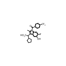 Cc1c(C(C(=O)O)C2CCCC2)c2cc(O)c(F)cc2n1C(=O)c1ccc(C(F)(F)F)cc1